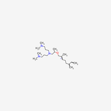 C=CC(=C)CC/C=C(\C)COC(C)CN(CCCN(C)C)CCCN(C)C